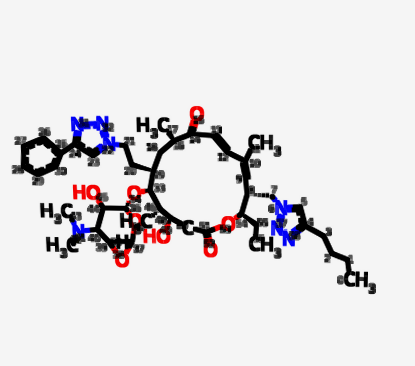 CCCCc1cn(C[C@H]2/C=C(C)/C=C/C(=O)[C@H](C)C[C@H](CCn3cc(-c4ccccc4)nn3)[C@H](O[C@@H]3O[C@@H]4OC4C(N(C)C)C3O)[C@@H](C)[C@H](O)CC(=O)O[C@@H]2CC)nn1